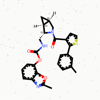 Cc1cccc(-c2sccc2C(=O)N2C[C@@H]3C[C@@H]3[C@H]2CNC(=O)Oc2cccc3nc(C)oc23)c1